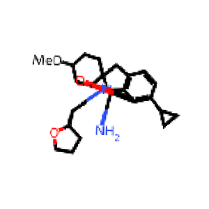 COC1CCC2(CC1)Cc1ccc(C3CC3)cc1[C@]21N=C(N)N(CC2CCCO2)C1=O